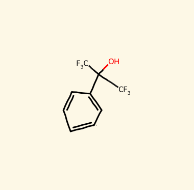 OC(c1c[c]ccc1)(C(F)(F)F)C(F)(F)F